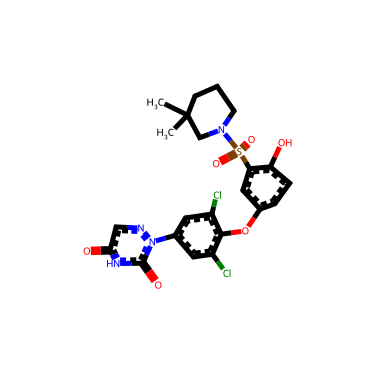 CC1(C)CCCN(S(=O)(=O)c2cc(Oc3c(Cl)cc(-n4ncc(=O)[nH]c4=O)cc3Cl)ccc2O)C1